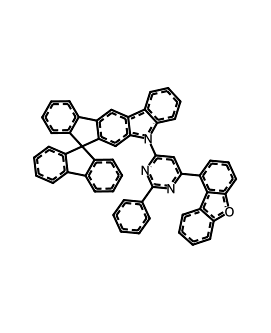 c1ccc(-c2nc(-c3cccc4oc5ccccc5c34)cc(-n3c4ccccc4c4cc5c(cc43)C3(c4ccccc4-c4ccccc43)c3ccccc3-5)n2)cc1